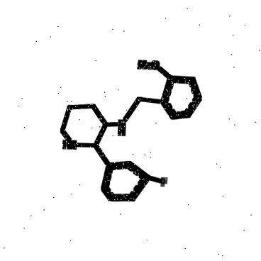 COc1ccccc1CNC1CCCNC1c1cccc(F)c1